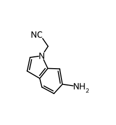 N#CCn1ccc2ccc(N)cc21